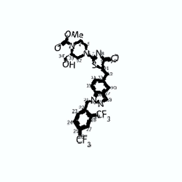 COC(=O)N1CCN(C2=NC(=O)/C(=C/c3ccc4c(cnn4Cc4ccc(C(F)(F)F)cc4C(F)(F)F)c3)S2)C[C@@H]1CO